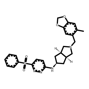 Cc1cc2c(cc1CN1C[C@H]3C[C@@H](Nc4ccc(S(=O)(=O)c5ccccc5)nn4)C[C@H]3C1)OCO2